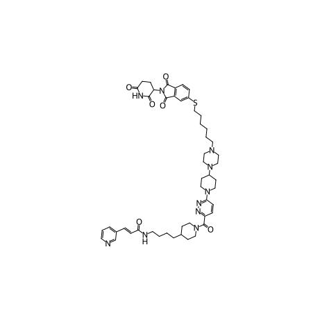 O=C(/C=C/c1cccnc1)NCCCCC1CCN(C(=O)c2ccc(N3CCC(N4CCN(CCCCCCSc5ccc6c(c5)C(=O)N(C5CCC(=O)NC5=O)C6=O)CC4)CC3)nn2)CC1